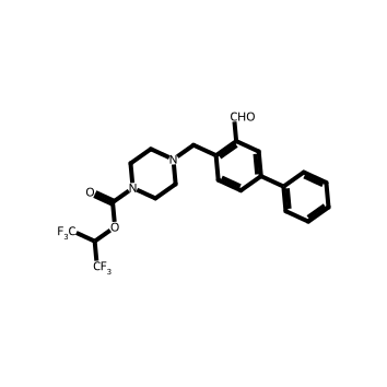 O=Cc1cc(-c2ccccc2)ccc1CN1CCN(C(=O)OC(C(F)(F)F)C(F)(F)F)CC1